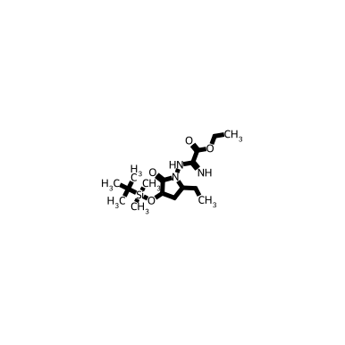 CCOC(=O)C(=N)NN1C(=O)C(O[Si](C)(C)C(C)(C)C)CC1CC